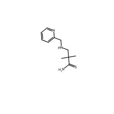 CC(C)(CNCc1ccccn1)C(N)=S